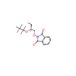 CC[C@@H](CON1C(=O)c2ccccc2C1=O)O[Si](C)(C)C(C)(C)C